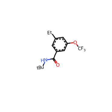 CCc1cc(OC(F)(F)F)cc(C(=O)NC(C)(C)C)c1